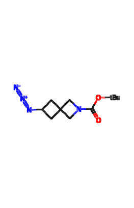 CC(C)(C)OC(=O)N1CC2(CC(N=[N+]=[N-])C2)C1